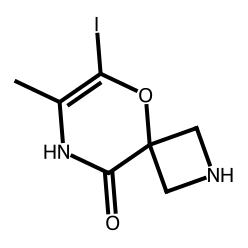 CC1=C(I)OC2(CNC2)C(=O)N1